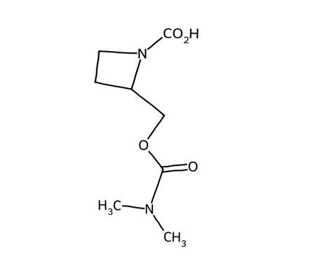 CN(C)C(=O)OCC1CCN1C(=O)O